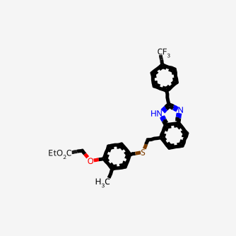 CCOC(=O)COc1ccc(SCc2cccc3nc(-c4ccc(C(F)(F)F)cc4)[nH]c23)cc1C